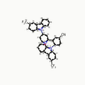 N#Cc1ccc(-n2c3ccccc3c3cc(C(F)(F)F)ccc32)c(-c2cc(-n3c4ccccc4c4cc(C(F)(F)F)ccc43)ccn2)c1